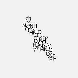 CN(C)C(=O)[C@@H](NC(=O)CNC(=O)C(=O)C(CC1CC1)NC(=O)[C@@H]1[C@@H]2C(CN1C(=O)[C@@H](NC(=O)OC(C)(C)C(F)(F)F)C(C)(C)C)C2(C)C)c1ccccc1